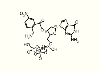 NCc1ccc([N+](=O)[O-])cc1C(=O)O[C@@H]1C[C@H](n2cnc3c(=O)[nH]c(N)nc32)OC1COP(=O)(O)OP(=O)(O)OP(=O)(O)O